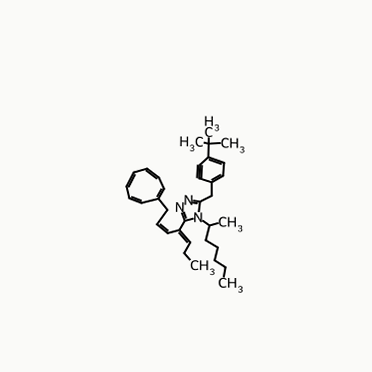 CC/C=C(\C=C/CC1=C/C=C\C=C/C=C\1)c1nnc(Cc2c#cc(C(C)(C)C)cc2)n1C(C)CCCCC